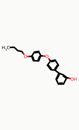 CCCCOc1ccc(Oc2ccc(-c3cccc(O)c3)cc2)cc1